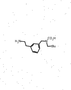 CC(C)(C)CN(Cc1cccc(CCN)c1)C(=O)O